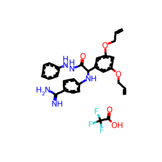 C=CCOc1cc(OCC=C)cc(C(Nc2ccc(C(=N)N)cc2)C(=O)NNc2ccccc2)c1.O=C(O)C(F)(F)F